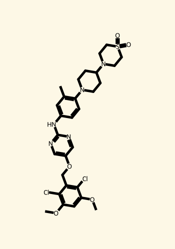 COc1cc(OC)c(Cl)c(COc2cnc(Nc3ccc(N4CCC(N5CCS(=O)(=O)CC5)CC4)c(C)c3)nc2)c1Cl